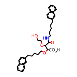 O=C(O)C(OCCCCCc1ccc2ccccc2c1)C(OCCO)C(=O)NCCCCCc1ccc2ccccc2c1